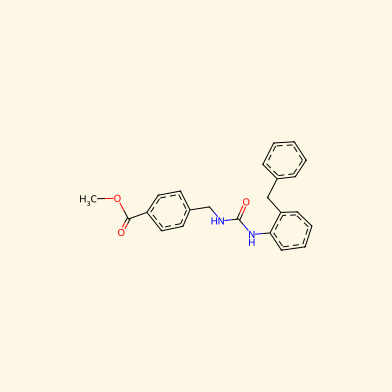 COC(=O)c1ccc(CNC(=O)Nc2ccccc2Cc2ccccc2)cc1